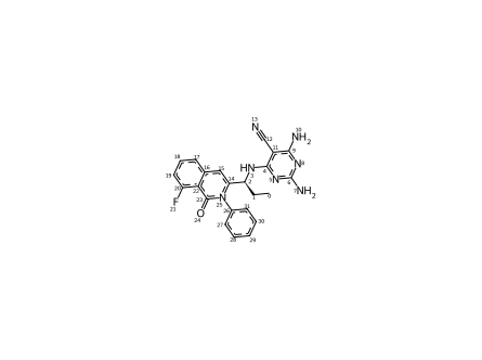 CC[C@H](Nc1nc(N)nc(N)c1C#N)c1cc2cccc(F)c2c(=O)n1-c1ccccc1